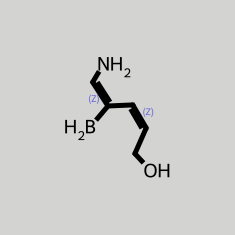 BC(/C=C\CO)=C/N